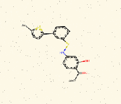 COC(=O)c1ccc(NSc2cccc(-c3ccc(C(C)=O)s3)c2)cc1O